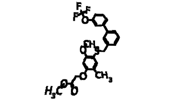 COC(=O)COc1cc(OC)c(SCc2cccc(-c3cccc(OC(F)(F)F)c3)c2)cc1C